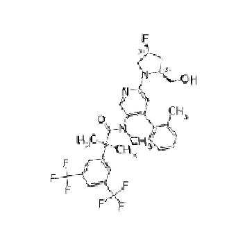 Cc1ccccc1-c1cc(N2C[C@@H](F)C[C@H]2CO)ncc1N(C)C(=O)C(C)(C)c1cc(C(F)(F)F)cc(C(F)(F)F)c1